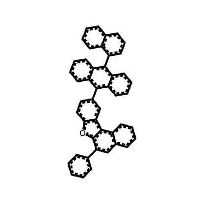 c1ccc(-c2cc3ccccc3c3c2oc2ccc(-c4c5ccccc5c(-c5cccc6ccccc56)c5ccccc45)cc23)cc1